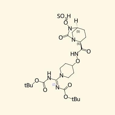 CC(C)(C)OC(=O)/N=C(/NC(=O)OC(C)(C)C)N1CCC(ONC(=O)[C@@H]2CC[C@H]3CN2C(=O)N3OS(=O)(=O)O)CC1